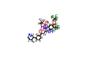 Cc1ccncc1-c1cccc(C(=O)CC(=O)Nc2cc(C(F)(F)F)c(OCC(F)(F)F)cc2NC(=O)OC(C)(C)C)c1